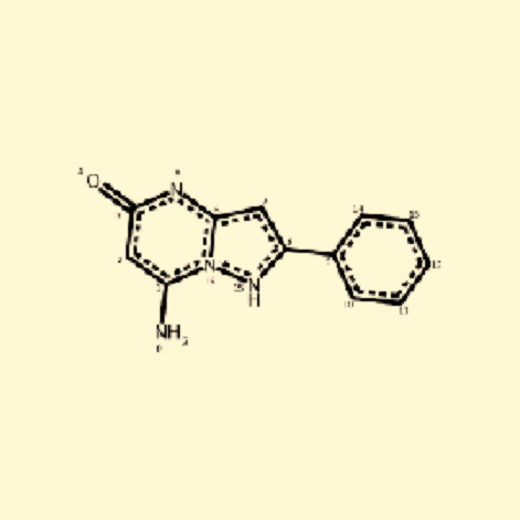 Nc1cc(=O)nc2cc(-c3ccccc3)[nH]n12